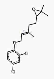 C/C(=C\COc1ccc(Cl)cc1Cl)CCC1OC1(C)C